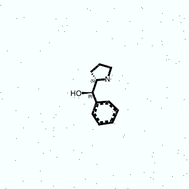 O[C@H](c1ccccc1)[C@@H]1CCC[N]1